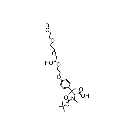 CCOCCOCCOCC(O)OCCOc1ccc(C(C)(C)C(C(=O)O)N(C)C(=O)OC(C)(C)C)cc1